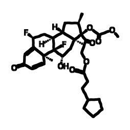 COC(=O)O[C@]1(C(=O)COC(=O)CCC2CCCC2)[C@H](C)C[C@H]2[C@@H]3C[C@H](F)C4=CC(=O)C=C[C@]4(C)[C@@]3(F)[C@@H](O)C[C@@]21C